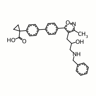 Cc1noc(-c2ccc(-c3ccc(C4(C(=O)O)CC4)cc3)cc2)c1CC(O)CNCc1ccccc1